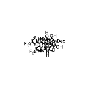 CCCCCCCCCCP(=O)(O)N[C@H]1C(CO)OCC(NC(=O)Nc2cccc(C(F)(F)F)c2)[C@H]1O[C@@H]1OC(CO)[C@@H](O)[C@H](O)C1NC(=O)Nc1cccc(C(F)(F)F)c1